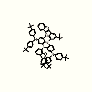 CC(C)(C)c1ccc(N(c2ccc(C(C)(C)C)cc2)c2ccc3c(c2)N(c2cccc4c2oc2cc(C(C)(C)C)ccc24)c2cc(N(c4ccc(C(C)(C)C)cc4)c4ccc(C(C)(C)C)cc4)cc4c2B3c2cc(C(C)(C)C)cc3c5sc6ccccc6c5n-4c23)cc1